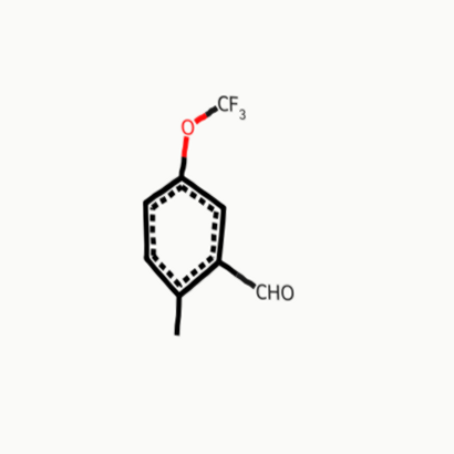 Cc1ccc(OC(F)(F)F)cc1C=O